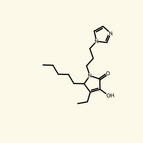 CCCCCC1C(CC)=C(O)C(=O)N1CCCn1ccnc1